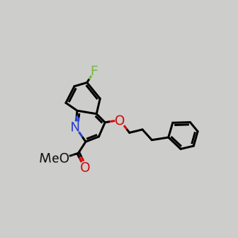 COC(=O)c1cc(OCCCc2ccccc2)c2cc(F)ccc2n1